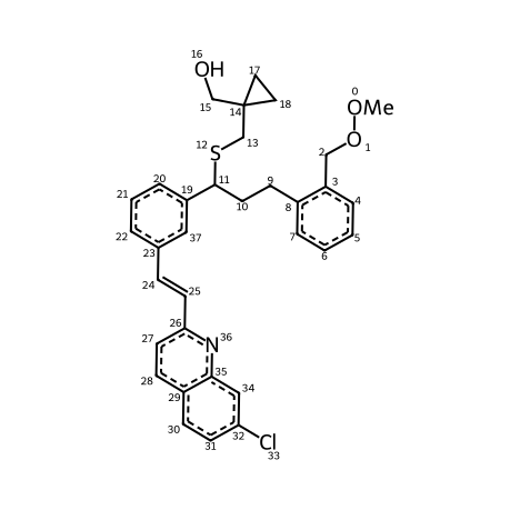 COOCc1ccccc1CCC(SCC1(CO)CC1)c1cccc(/C=C/c2ccc3ccc(Cl)cc3n2)c1